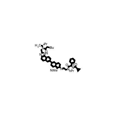 CCCN(C/C=N/c1ccc2cc(-c3ccc4c(ccc5nc(CN(C(=O)CC(C)CC)[C@H](C)C(C)C)[nH]c54)c3)ccc2c1NC)C(=O)[C@H](NC(=O)C1CC1)c1ccccc1